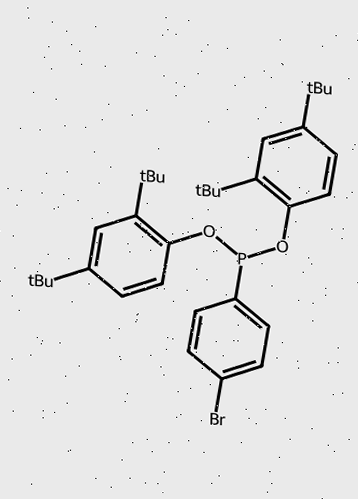 CC(C)(C)c1ccc(OP(Oc2ccc(C(C)(C)C)cc2C(C)(C)C)c2ccc(Br)cc2)c(C(C)(C)C)c1